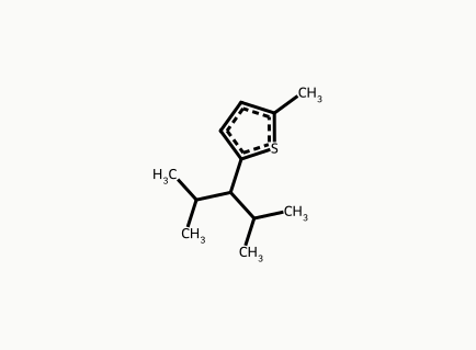 Cc1ccc(C(C(C)C)C(C)C)s1